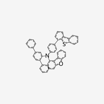 c1ccc(-c2ccc(-c3ccccc3)c(N(c3ccc(-c4cccc5c4sc4ccccc45)cc3)c3cccc4oc5ccccc5c34)c2)cc1